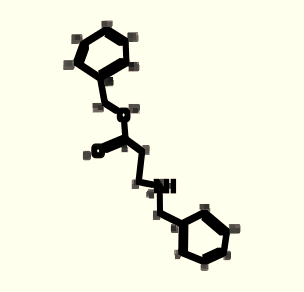 O=C(CCNCc1ccccc1)OCc1ccccc1